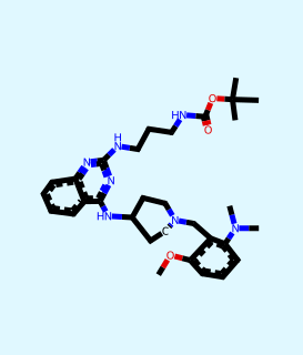 COc1cccc(N(C)C)c1CN1CCC(Nc2nc(NCCCNC(=O)OC(C)(C)C)nc3ccccc23)CC1